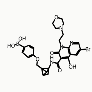 O=C(NC12CC(C1)C2COc1ccc(B(O)O)cc1)c1c(O)c2cc(Br)cnc2n(CCN2CCOCC2)c1=O